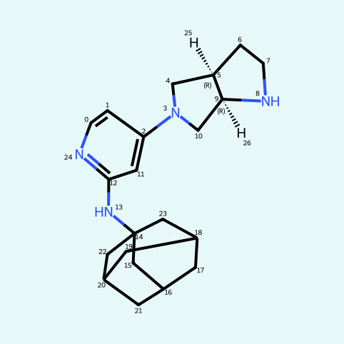 c1cc(N2C[C@H]3CCN[C@H]3C2)cc(NC23CC4CC(CC(C4)C2)C3)n1